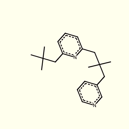 CC(C)(C)Cc1cccc(CC(C)(C)Cc2cccnc2)n1